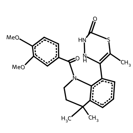 COc1ccc(C(=O)N2CCC(C)(C)c3cccc(C4=C(C)SC(=O)NN4)c32)cc1OC